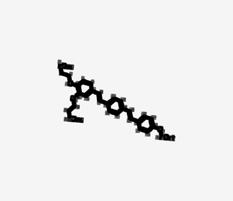 CCCCCCCCCCCCOc1ccc(C=Cc2ccc(C=Cc3ccc(OCCCCCCCC)cc3)cc2)cc1OCCCCCCCCCCCC